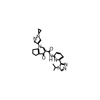 CC(C)n1cnnc1-c1cccc(NC(=O)c2cn(-c3cnn(C4CC4)c3)c3c(c2=O)CCC3)n1